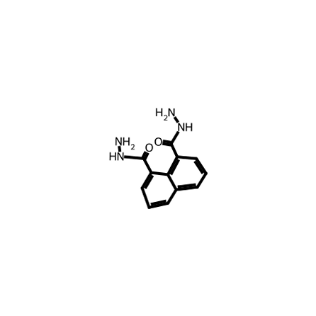 NNC(=O)c1cccc2cccc(C(=O)NN)c12